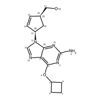 Nc1nc(OC2CCC2)c2ncn([C@H]3C=C[C@@H](C[O])C3)c2n1